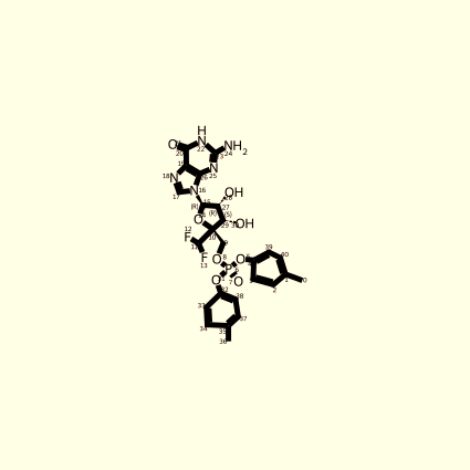 Cc1ccc(OP(=O)(OC[C@@]2(C(F)F)O[C@@H](n3cnc4c(=O)[nH]c(N)nc43)[C@H](O)[C@@H]2O)Oc2ccc(C)cc2)cc1